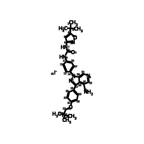 CC(C)(C)c1cc(NC(=O)Nc2ccc(-n3nc(-c4ccc(OC[N+](C)(C)C)cc4)c4c(N)cncc43)cc2)no1.[I-]